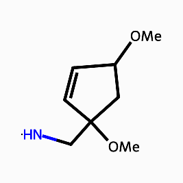 COC1C=CC(C[NH])(OC)C1